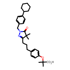 CC(C)(Oc1ccc(CCCC2=NN(Cc3ccc(C4CCCCC4)cc3)C(=O)C2(C)C)cc1)C(=O)O